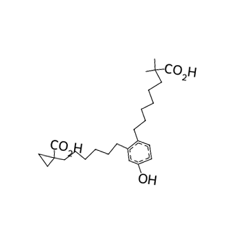 CC(C)(CCCCCCc1ccc(O)cc1CCCCCCC1(C(=O)O)CC1)C(=O)O